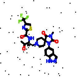 CC(=O)[C@@H](CN1CCC2(CC1)C(=O)N(C)C(=O)N2c1ccc2[nH]ncc2c1)NC(=O)c1nc(C(F)(F)F)cs1